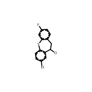 CCc1ccc2c(c1)C(Cl)Cc1ccc(F)cc1S2